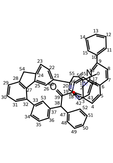 C\C1=c2/c(ccc3ccc(-c4ccccc4)nc23)=C\C=C(\c2ccc3c(c2)-c2c(cccc2-c2cccc(C(C(=O)c4ccccc4)c4ccccc4)c2)C3)CC1